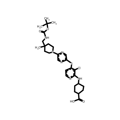 CC1(CNC(=O)OC(C)(C)C)CCN(c2cnc(Sc3ccnc(NC4CCC(C(=O)O)CC4)c3Cl)cn2)CC1